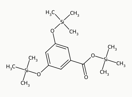 C[Si](C)(C)OC(=O)c1cc(O[Si](C)(C)C)cc(O[Si](C)(C)C)c1